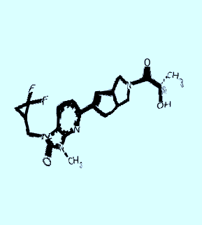 C[C@H](O)C(=O)N1CC2C=C(c3ccc4c(n3)n(C)c(=O)n4CC3CC3(F)F)CC2C1